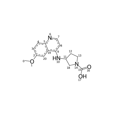 COc1ccc2nccc(NC3CCN(C(=O)O)C3)c2c1